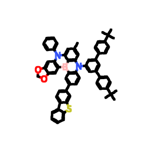 Cc1cc2c3c(c1)N(c1ccccc1)c1cc4c(cc1B3c1cc(-c3ccc5c(c3)sc3ccccc35)ccc1N2c1cc(-c2ccc(C(C)(C)C)cc2)cc(-c2ccc(C(C)(C)C)cc2)c1)OCO4